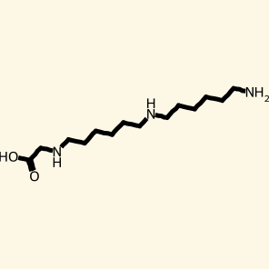 NCCCCCCNCCCCCCNCC(=O)O